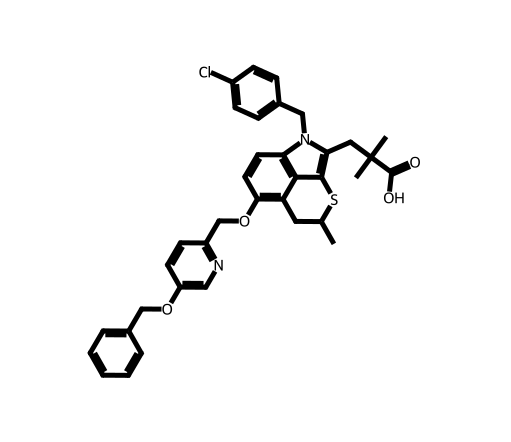 CC1Cc2c(OCc3ccc(OCc4ccccc4)cn3)ccc3c2c(c(CC(C)(C)C(=O)O)n3Cc2ccc(Cl)cc2)S1